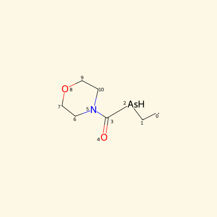 [CH2]C[AsH]C(=O)N1CCOCC1